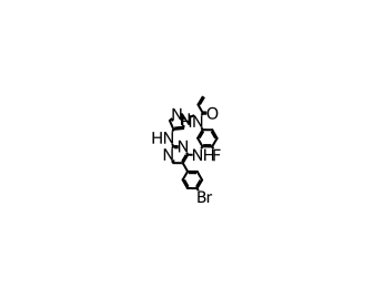 C=CC(=O)Nc1ccc(F)c(Nc2nc(Nc3cnn(C)c3)ncc2-c2ccc(Br)cc2)c1